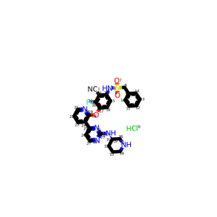 Cl.N#Cc1c(NS(=O)(=O)Cc2ccccc2)ccc(Oc2ncccc2-c2ccnc(N[C@H]3CCCNC3)n2)c1F